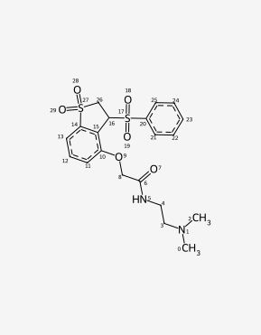 CN(C)CCNC(=O)COc1cccc2c1C(S(=O)(=O)c1ccccc1)CS2(=O)=O